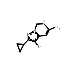 FC(F)(F)C1=Cc2c(Br)c(C3CC3)nn2CN1